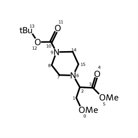 COCC(C(=O)OC)N1CCN(C(=O)OC(C)(C)C)CC1